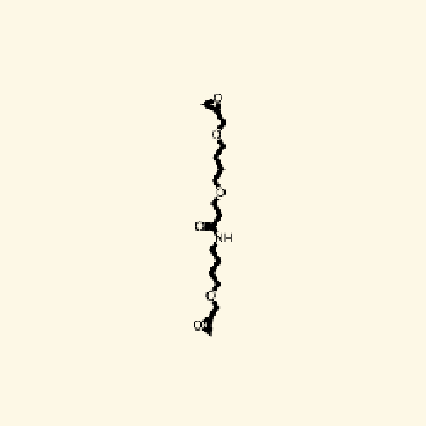 O=C(CCOCCCCOCC1CO1)NCCCCOCC1CO1